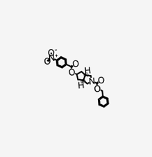 O=C(OC1C[C@@H]2CN(C(=O)OCc3ccccc3)C[C@@H]2C1)c1ccc([N+](=O)[O-])cc1